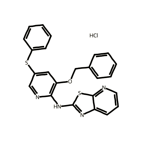 Cl.c1ccc(COc2cc(Sc3ccccc3)cnc2Nc2nc3cccnc3s2)cc1